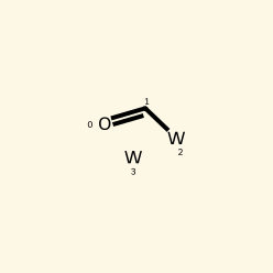 O=[CH][W].[W]